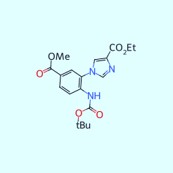 CCOC(=O)c1cn(-c2cc(C(=O)OC)ccc2NC(=O)OC(C)(C)C)cn1